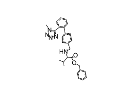 CC(C)C(NCc1ccc(-c2ccccc2-c2nnnn2C)cc1)C(=O)OCc1ccccc1